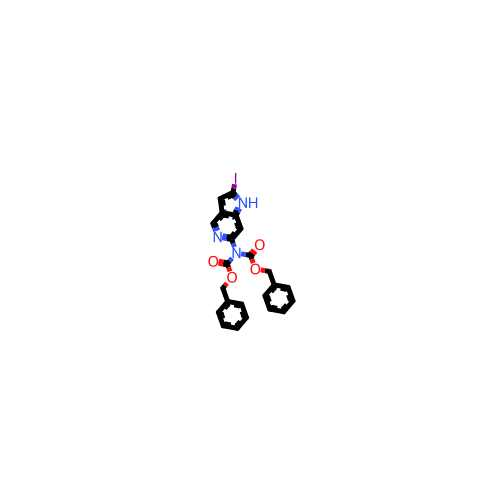 O=C(OCc1ccccc1)N(C(=O)OCc1ccccc1)c1cc2[nH]c(I)cc2cn1